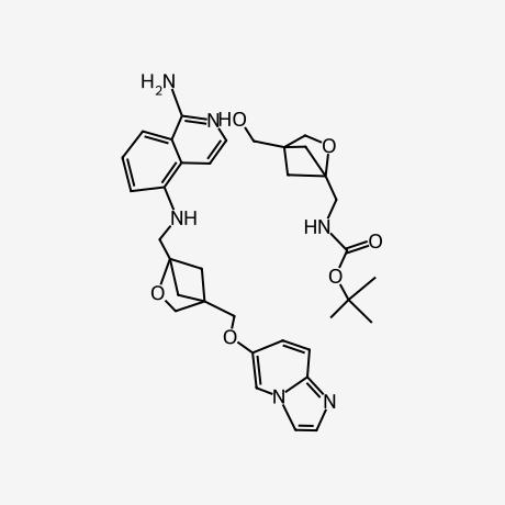 CC(C)(C)OC(=O)NCC12CC(CO)(CO1)C2.Nc1nccc2c(NCC34CC(COc5ccc6nccn6c5)(CO3)C4)cccc12